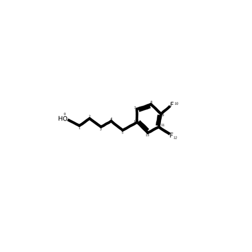 OCCCCCc1ccc(F)c(F)c1